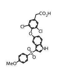 COc1ccc(S(=O)(=O)c2c[nH]c3ccc(Oc4c(Cl)cc(CC(=O)O)cc4Cl)cc23)cc1